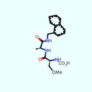 COC[C@H](NC(=O)O)C(=O)N[C@@H](C)C(=O)NCc1cccc2ccccc12